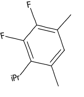 Cc1cc(C)c(C(C)C)c(F)c1F